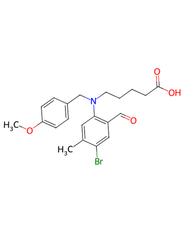 COc1ccc(CN(CCCCC(=O)O)c2cc(C)c(Br)cc2C=O)cc1